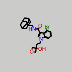 O=C(NCC12CC3CC(CC(C3)C1)C2)c1cn(CCC2(O)COC2)c2cccc(Br)c12